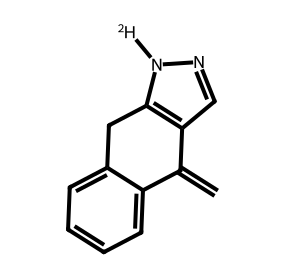 [2H]n1ncc2c1Cc1ccccc1C2=C